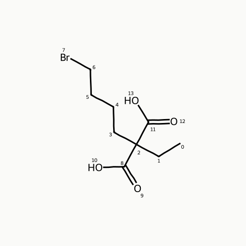 CCC(CCCCBr)(C(=O)O)C(=O)O